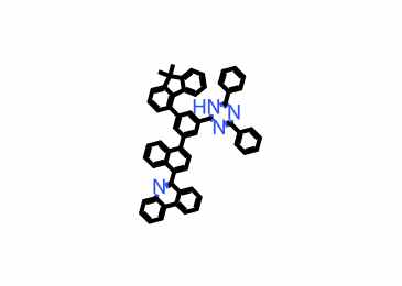 CC1(C)c2ccccc2-c2c(-c3cc(-c4ccc(-c5nc6ccccc6c6ccccc56)c5ccccc45)cc(C4N=C(c5ccccc5)N=C(c5ccccc5)N4)c3)cccc21